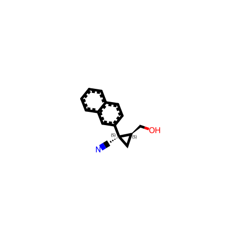 N#C[C@@]1(c2ccc3ccccc3c2)C[C@@H]1CO